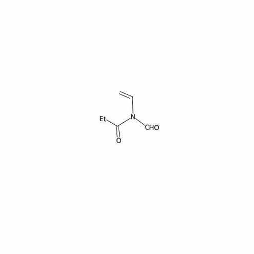 C=CN(C=O)C(=O)CC